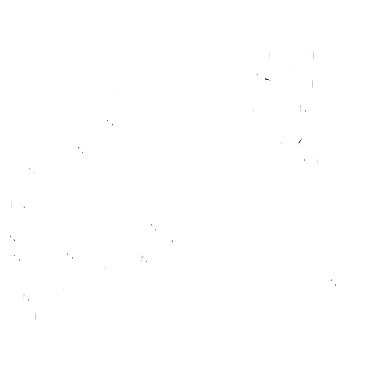 CNC(=O)c1nnc(Nc2ccc(N3CCN(C(=O)CCCCCCC(=O)N[C@H](C(=O)N4C[C@H](O)C[C@H]4C(=O)NCc4ccc(-c5scnc5C)cc4)C(C)(C)C)CC3)cn2)cc1Nc1cccc(-c2ncn(C)n2)c1OC